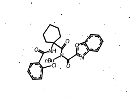 CCCCN(C(=O)c1nc2ccccc2o1)C(=O)C1(NC(=O)c2ccccc2Cl)CCCCC1